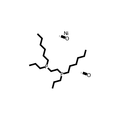 CCCCCCP(CCC)CCP(CCC)CCCCCC.[C]=O.[C]=O.[Ni]